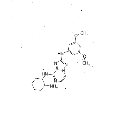 COc1cc(Nc2nc3c(NC4CCCCC4N)nccn3n2)cc(OC)c1